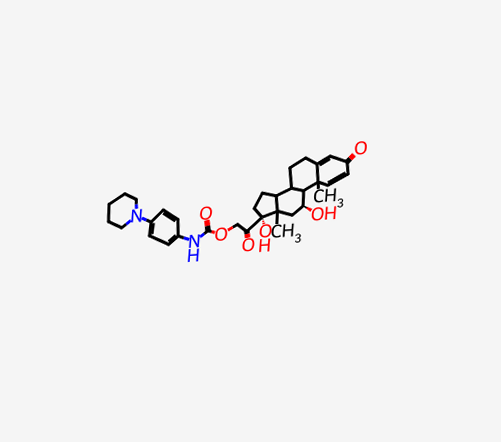 CC12C=CC(=O)C=C1CCC1C2[C@@H](O)CC2(C)C1CC[C@]2(O)C(=O)COC(=O)Nc1ccc(N2CCCCC2)cc1